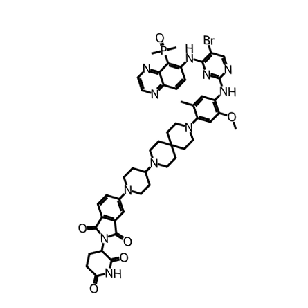 COc1cc(N2CCC3(CC2)CCN(C2CCN(c4ccc5c(c4)C(=O)N(C4CCC(=O)NC4=O)C5=O)CC2)CC3)c(C)cc1Nc1ncc(Br)c(Nc2ccc3nccnc3c2P(C)(C)=O)n1